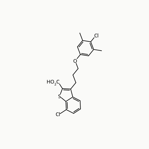 Cc1cc(OCCCc2c(C(=O)O)sc3c(Cl)cccc23)cc(C)c1Cl